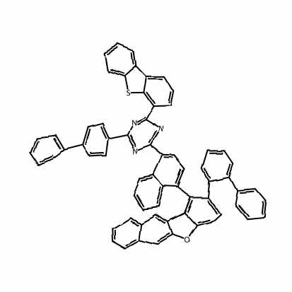 c1ccc(-c2ccc(-c3nc(-c4ccc(-c5c(-c6ccccc6-c6ccccc6)ccc6oc7cc8ccccc8cc7c56)c5ccccc45)nc(-c4cccc5c4sc4ccccc45)n3)cc2)cc1